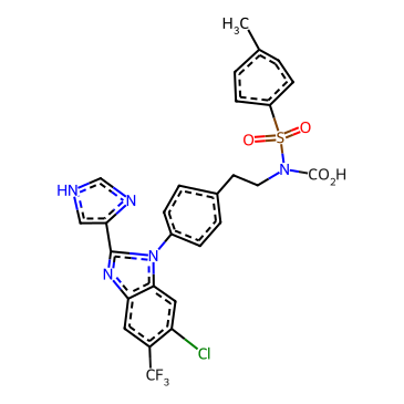 Cc1ccc(S(=O)(=O)N(CCc2ccc(-n3c(-c4c[nH]cn4)nc4cc(C(F)(F)F)c(Cl)cc43)cc2)C(=O)O)cc1